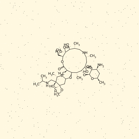 CC[C@@H]1OC(=O)[C@H](C)[C@H](OC2C[C@@](C)(OC)[C@](O)(CNC(C)C)[C@H](C)O2)[C@@H](C)[C@@H](O[C@@H]2O[C@H](C)C[C@H](N)[C@H]2O)[C@](C)(O)C[C@@H](C)NC[C@@H](C)[C@H](O)[C@]1(C)O